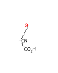 CC(C#N)(CCCCCCCCC1CO1)CCCCCC(=O)O